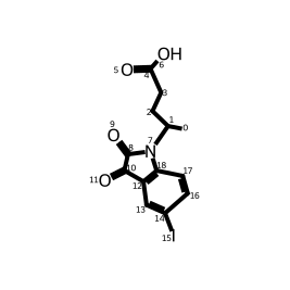 CC(CCC(=O)O)N1C(=O)C(=O)c2cc(I)ccc21